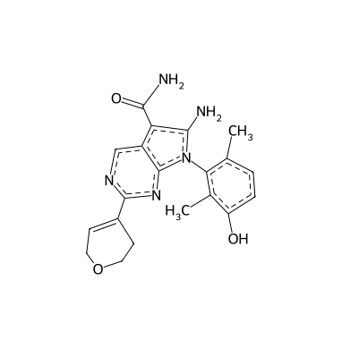 Cc1ccc(O)c(C)c1-n1c(N)c(C(N)=O)c2cnc(C3=CCOCC3)nc21